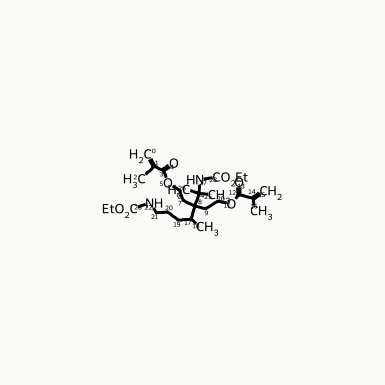 C=C(C)C(=O)OCCC(CCOC(=O)C(=C)C)(C(C)CCCNC(=O)OCC)C(C)(C)NC(=O)OCC